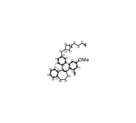 COc1ccc(C2=C(c3ccc(CC4CN(CCCF)C4)cc3)c3ccccc3CCC2)c(F)c1